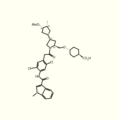 CO[C@H]1CN([C@H]2C[C@@H](CO[C@H]3CC[C@H](C(=O)O)CC3)N(C(=O)Cc3cc(Cl)c(NC(=O)c4cn(C)c5ccccc45)cc3Cl)C2)C[C@H]1C